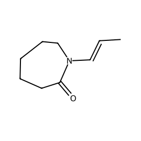 CC=CN1CCCCCC1=O